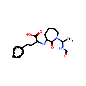 CC(NC=O)N1CCCCC(NC(CCc2ccccc2)C(=O)O)C1=O